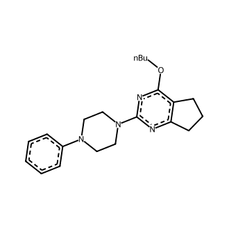 CCCCOc1nc(N2CCN(c3ccccc3)CC2)nc2c1CCC2